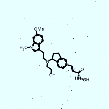 COc1ccc2c(CCN(CCO)C3CCc4cc(/C=C/C(=O)NO)ccc43)cn(C)c2c1